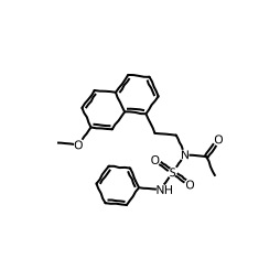 COc1ccc2cccc(CCN(C(C)=O)S(=O)(=O)Nc3ccccc3)c2c1